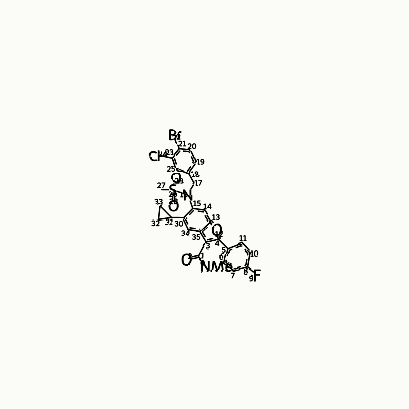 CNC(=O)c1c(-c2ccc(F)cc2)oc2cc(N(Cc3ccc(Br)c(Cl)c3)S(C)(=O)=O)c(C3CC3)cc12